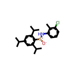 Cc1c(Cl)cccc1N[S+]([O-])c1c(C(C)C)cc(C(C)C)cc1C(C)C